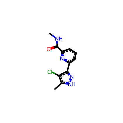 CNC(=O)c1cccc(-c2n[nH]c(C)c2Cl)n1